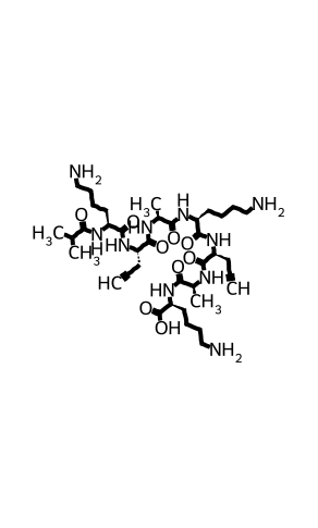 C#CC[C@H](NC(=O)[C@H](CCCCN)NC(=O)C(C)C)C(=O)N[C@@H](C)C(=O)N[C@@H](CCCCN)C(=O)N[C@@H](CC#C)C(=O)N[C@@H](C)C(=O)N[C@@H](CCCCN)C(=O)O